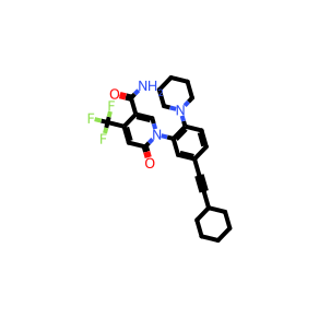 NC(=O)c1cn(-c2cc(C#CC3CCCCC3)ccc2N2CCCCC2)c(=O)cc1C(F)(F)F